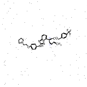 C=C/C=C\C(=C/COCc1ccc(C(F)(F)F)cc1)c1cccc2nc(Nc3ccc(OCCN4CCCC4)cc3)nn12